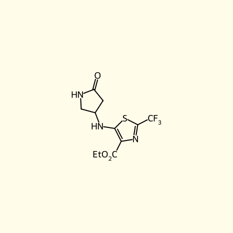 CCOC(=O)c1nc(C(F)(F)F)sc1NC1CNC(=O)C1